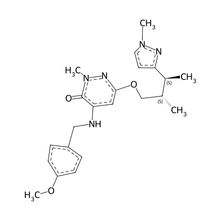 COc1ccc(CNc2cc(OC[C@@H](C)[C@H](C)c3ccn(C)n3)nn(C)c2=O)cc1